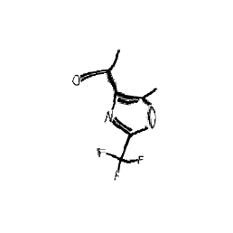 CC(=O)c1nc(C(F)(F)F)oc1C